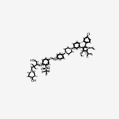 CCn1c(-c2ccc(Cl)cc2)c(-c2cccc(N3CCN(c4ccc(NSc5ccc(NC(CS)C(C)(C)CN6CCC(O)CC6)c(S(=O)(=O)C(F)(F)F)c5)cc4)CC3)c2)c(SC)c1C(C)C